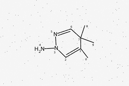 CC1=CN(N)N=CC1(C)C